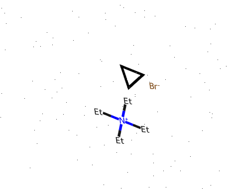 C1CC1.CC[N+](CC)(CC)CC.[Br-]